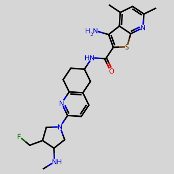 CNC1CN(c2ccc3c(n2)CCC(NC(=O)c2sc4nc(C)cc(C)c4c2N)C3)CC1CF